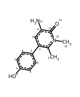 Cc1c(-c2ccc(O)cc2)cc(N)c(=O)n1C